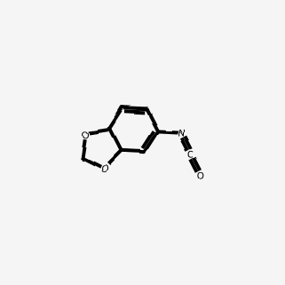 O=C=NC1=CC2OCOC2C=C1